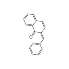 O=C1/C(=C\c2ccccc2)C=Cc2ccccc21